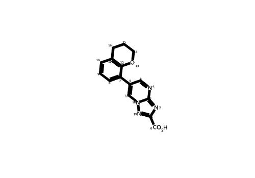 O=C(O)c1nc2ncc(-c3cccc4c3OCCC4)cn2n1